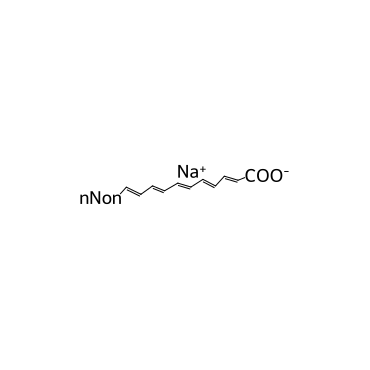 CCCCCCCCC/C=C/C=C/C=C/C=C/C=C/C(=O)[O-].[Na+]